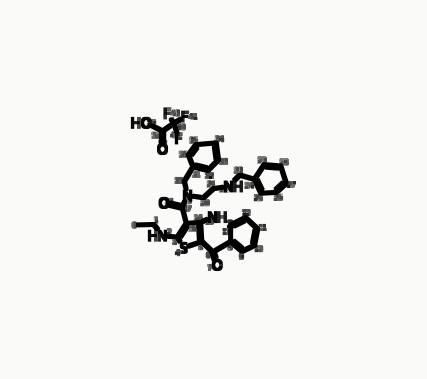 CCNc1sc(C(=O)c2ccccc2)c(N)c1C(=O)N(CCNCc1ccccc1)Cc1ccccc1.O=C(O)C(F)(F)F